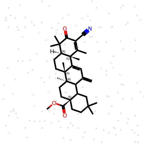 C=C1C=C2[C@@]3(C)C(C)=C(C#N)C(=O)C(C)(C)[C@@H]3CC[C@@]2(C)[C@]2(C)CC[C@@]3(C(=O)OC)CCC(C)(C)CC3C12